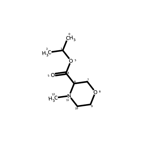 CC(C)OC(=O)C1COCCN1C